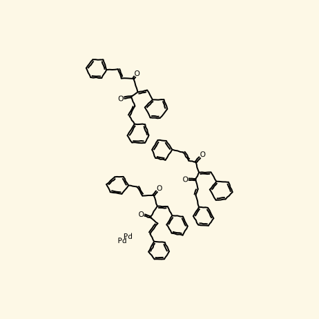 O=C(C=Cc1ccccc1)C(=Cc1ccccc1)C(=O)C=Cc1ccccc1.O=C(C=Cc1ccccc1)C(=Cc1ccccc1)C(=O)C=Cc1ccccc1.O=C(C=Cc1ccccc1)C(=Cc1ccccc1)C(=O)C=Cc1ccccc1.[Pd].[Pd]